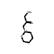 CC(=O)OCC(=O)C[C@H]1CCCCO1